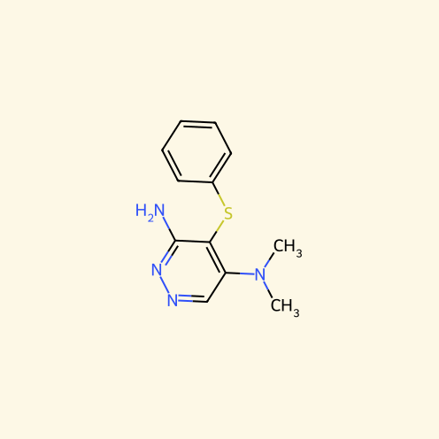 CN(C)c1cnnc(N)c1Sc1ccccc1